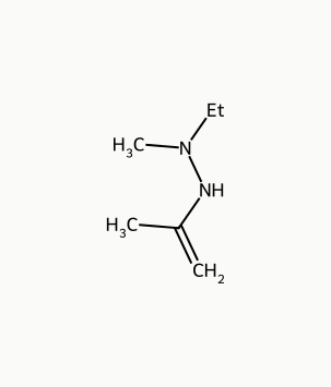 C=C(C)NN(C)CC